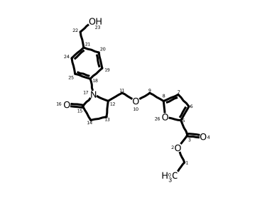 CCOC(=O)c1ccc(COCC2CCC(=O)N2c2ccc(CO)cc2)o1